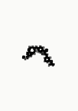 O=C(NCc1cccc(OC(F)F)c1)c1ccc(CN2CCOc3nc([N+](=O)[O-])cn3CC2)cc1